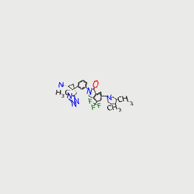 C[C@@H]1C[C@H](C)CN(Cc2cc3c(c(C(F)(F)F)c2)CN(c2cccc([C@]4(Cc5nncn5C)C[C@@H](C#N)C4)c2)C3=O)C1